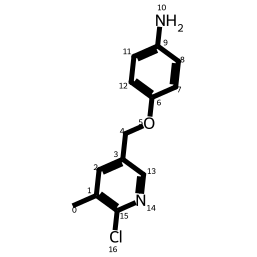 Cc1cc(COc2ccc(N)cc2)cnc1Cl